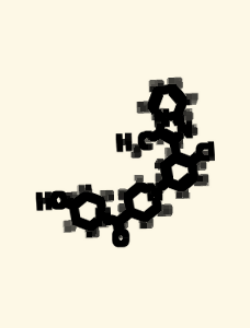 Cc1c(-c2cc(N3CCC(C(=O)N4CCC(O)CC4)CC3)ccc2Cl)nc2ccccn12